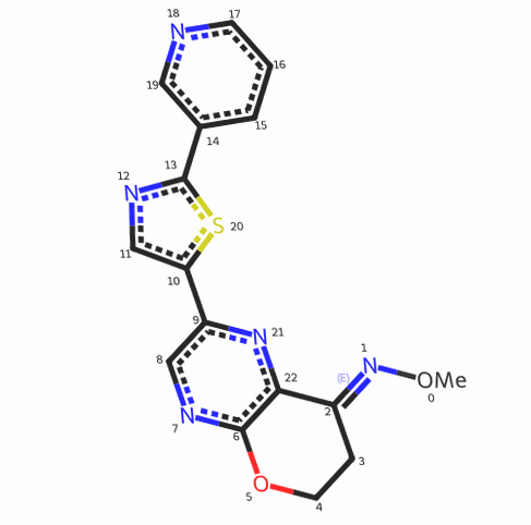 CO/N=C1\CCOc2ncc(-c3cnc(-c4cccnc4)s3)nc21